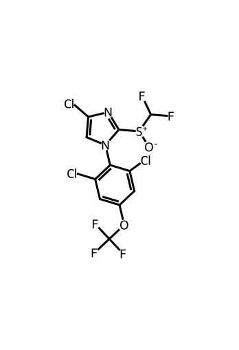 [O-][S+](c1nc(Cl)cn1-c1c(Cl)cc(OC(F)(F)F)cc1Cl)C(F)F